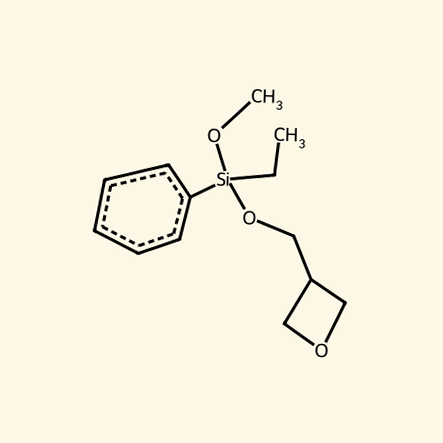 CC[Si](OC)(OCC1COC1)c1ccccc1